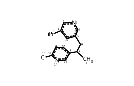 CC(C)c1cncc(CC(C)c2ccc(Cl)nc2)c1